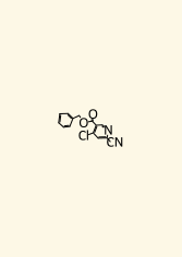 N#Cc1cc(Cl)c(C(=O)OCc2ccccc2)cn1